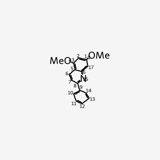 COc1cc(OC)c2ccc(-c3ccccc3)nc2c1